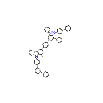 CC1CC(c2ccc(-c3cc(-c4ccccc4)c4c(c3)-c3ccccc3-c3cc(-c5ccccc5)ccc3N4)cc2)=CC2=C1N(c1ccc(-c3cccc(-c4ccccc4)c3)cc1)C1C=CC=CC21